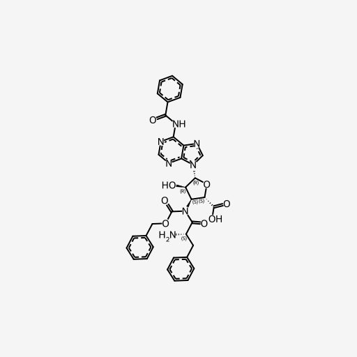 N[C@@H](Cc1ccccc1)C(=O)N(C(=O)OCc1ccccc1)[C@H]1[C@@H](O)[C@H](n2cnc3c(NC(=O)c4ccccc4)ncnc32)O[C@@H]1C(=O)O